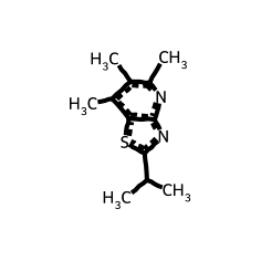 Cc1nc2nc(C(C)C)sc2c(C)c1C